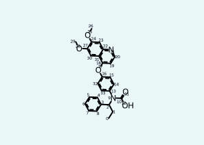 CCC(c1ccccc1)N(C(=O)O)c1ccc(Oc2ccnc3cc(OC)c(OC)cc23)cc1